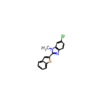 Cn1c(-c2cc3ccccc3s2)nc2ccc(Br)cc21